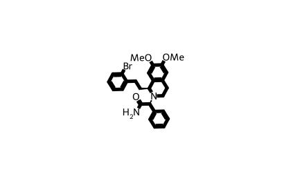 COc1cc2c(cc1OC)[C@H](CCc1ccccc1Br)N([C@@H](C(N)=O)c1ccccc1)CC2